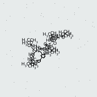 Cc1ccc2cc1C[C@@H](C(=O)NC[C@H](NC(=O)OC(C)(C)C)C(=O)NCC[C@H](NC(=O)OC(C)(C)C)C(=O)NCC(O)CNC(=O)OC(C)(C)C)NC(=O)[C@H](CCCNC(=O)OC(C)(C)C)NC(=O)[C@@H](NC(=O)OC(C)(C)C)Cc1cc-2ccc1O